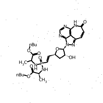 CCCCOC(=O)C(C)NP(=O)(/C=C/[C@@H]1C[C@@H](O)[C@H](n2nc3c4c(ncnc42)NC(=O)C=C3)O1)N[C@@H](C)C(=O)OCCCC